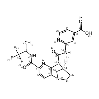 CC(NC(=O)c1ccc2c(n1)N(C(=O)Nc1cc(C(=O)O)ccn1)[C@H]1CCN2C1)C(F)(F)F